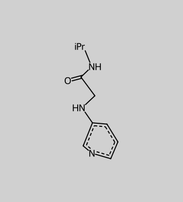 CC(C)NC(=O)CNc1cccnc1